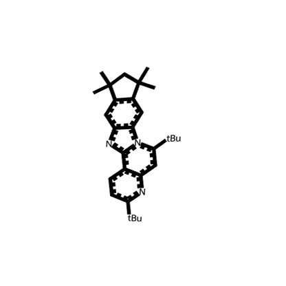 CC(C)(C)c1ccc2c(cc(C(C)(C)C)n3c4cc5c(cc4nc23)C(C)(C)CC5(C)C)n1